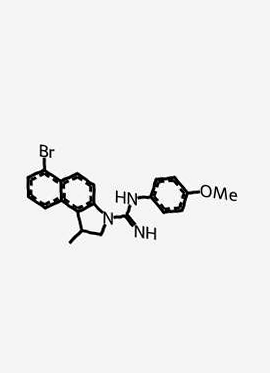 COc1ccc(NC(=N)N2CC(C)c3c2ccc2c(Br)cccc32)cc1